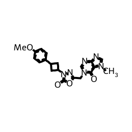 COc1ccc(C2CC(n3nc(Cn4cnc5ncn(C)c5c4=O)oc3=O)C2)cc1